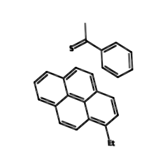 CC(=S)c1ccccc1.CCc1ccc2ccc3cccc4ccc1c2c34